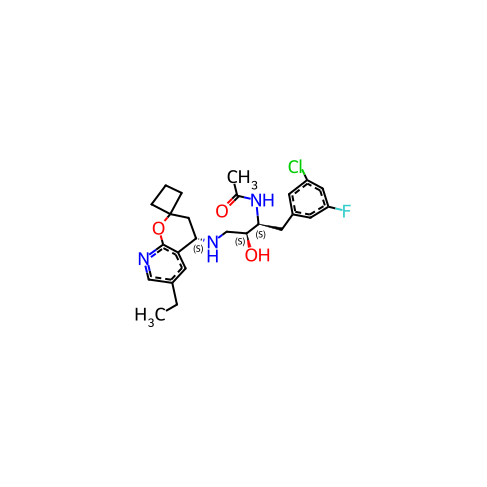 CCc1cnc2c(c1)[C@@H](NC[C@H](O)[C@H](Cc1cc(F)cc(Cl)c1)NC(C)=O)CC1(CCC1)O2